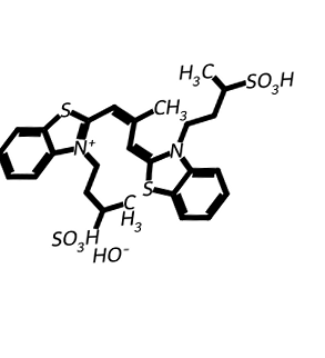 CC(=Cc1sc2ccccc2[n+]1CCC(C)S(=O)(=O)O)C=C1Sc2ccccc2N1CCC(C)S(=O)(=O)O.[OH-]